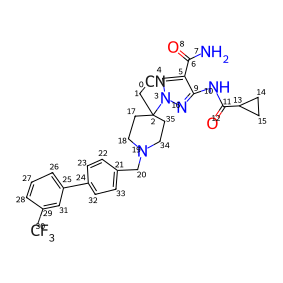 N#CCC1(n2cc(C(N)=O)c(NC(=O)C3CC3)n2)CCN(Cc2ccc(-c3cccc(C(F)(F)F)c3)cc2)CC1